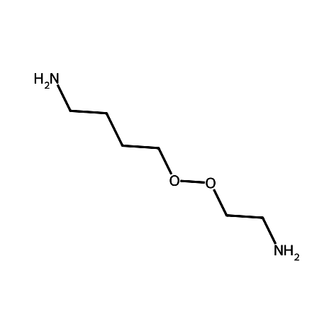 NCCCCOOCCN